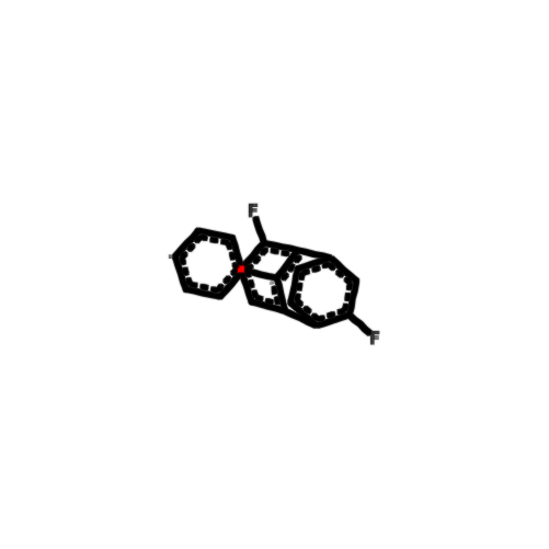 Fc1[c]cc2c(-c3cc[c]cc3)c1-c1ccc-2c(F)c1